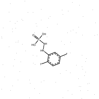 O=P(O)(O)NNc1cc(F)ccc1F